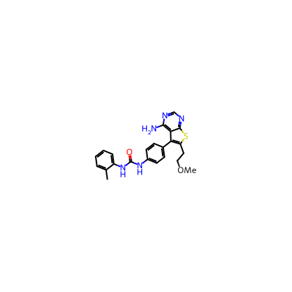 COCCc1sc2ncnc(N)c2c1-c1ccc(NC(=O)Nc2ccccc2C)cc1